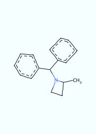 CC1CCN1C(c1ccccc1)c1ccccc1